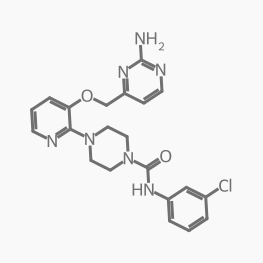 Nc1nccc(COc2cccnc2N2CCN(C(=O)Nc3cccc(Cl)c3)CC2)n1